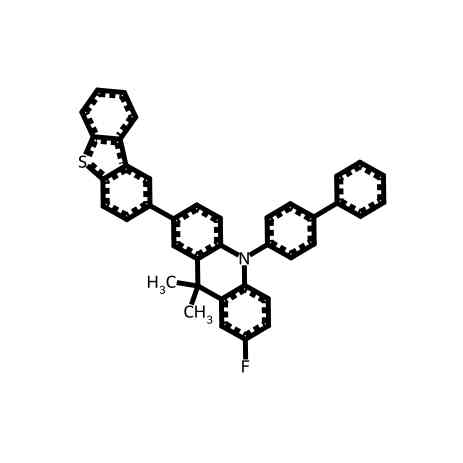 CC1(C)c2cc(F)ccc2N(c2ccc(-c3ccccc3)cc2)c2ccc(-c3ccc4sc5ccccc5c4c3)cc21